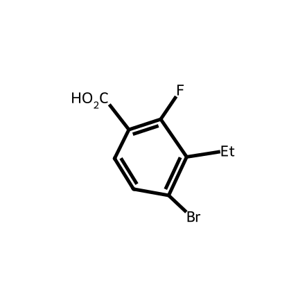 CCc1c(Br)ccc(C(=O)O)c1F